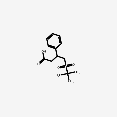 CC(C)(C)S(=O)(=O)CC(CC(=O)O)c1ccccc1